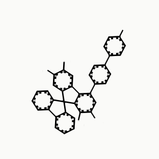 Cc1cc2c(cc1C)C1(c3ccccc3-c3ccccc31)c1c(C)c(C)cc(-c3ccc(-c4ccc(Cl)cc4)cc3)c1-2